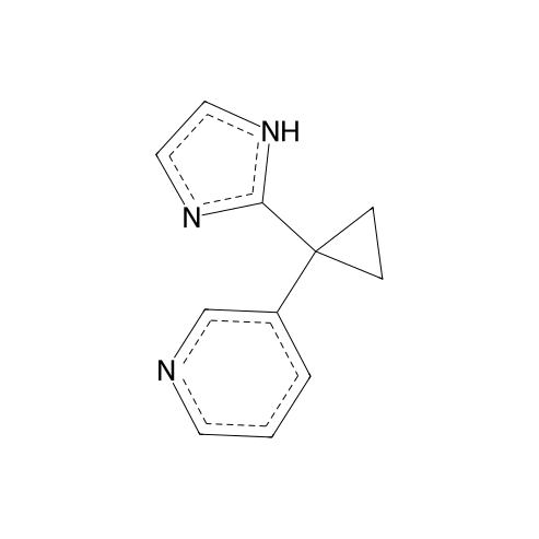 c1cncc(C2(c3ncc[nH]3)CC2)c1